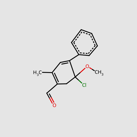 COC1(Cl)CC(C=O)=C(C)C=C1c1ccccc1